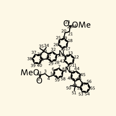 COC(=O)CCc1ccc(N(c2cccc(N(c3ccc(CCC(=O)OC)cc3)c3ccc4c(c3)C(C)(C)c3ccccc3-4)c2)c2ccc3c(c2)C(C)(C)c2ccccc2-3)cc1